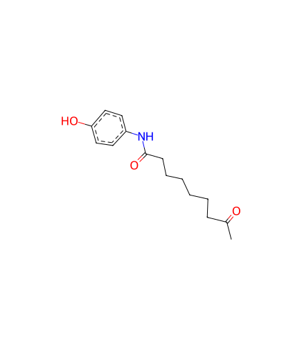 CC(=O)CCCCCCC(=O)Nc1ccc(O)cc1